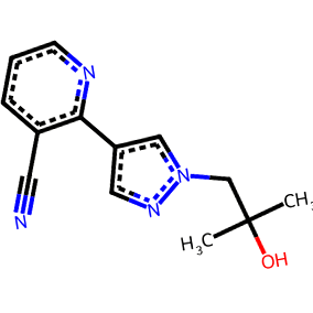 CC(C)(O)Cn1cc(-c2ncccc2C#N)cn1